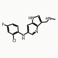 CNCc1c[nH]c2cc(Nc3ccc(F)cc3Cl)cnc12